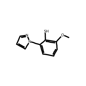 COc1cccc(-n2cccn2)c1S